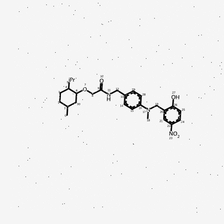 CC1CCC(C(C)C)C(OCC(=O)NCc2ccc(N(C)Cc3cc([N+](=O)[O-])ccc3O)cc2)C1